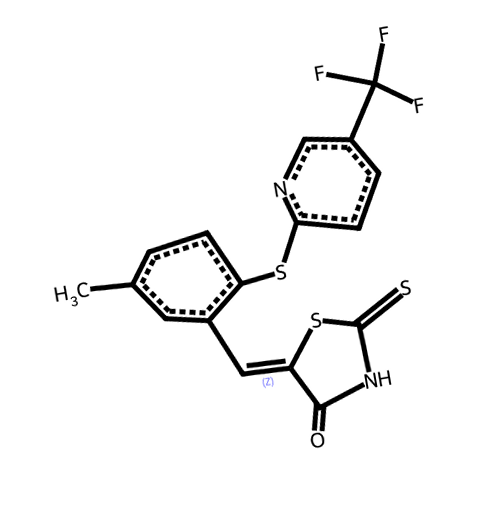 Cc1ccc(Sc2ccc(C(F)(F)F)cn2)c(/C=C2\SC(=S)NC2=O)c1